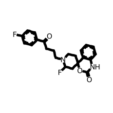 O=C1Nc2ccccc2C2(CCN(CCCC(=O)c3ccc(F)cc3)C(F)C2)O1